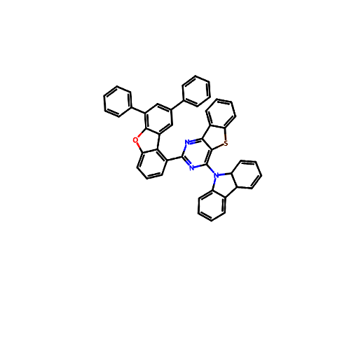 C1=CC2c3ccccc3N(c3nc(-c4cccc5oc6c(-c7ccccc7)cc(-c7ccccc7)cc6c45)nc4c3sc3ccccc34)C2C=C1